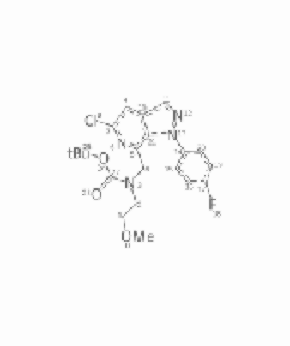 COCCN(Cc1nc(Cl)cc2cnn(-c3ccc(F)cc3)c12)C(=O)OC(C)(C)C